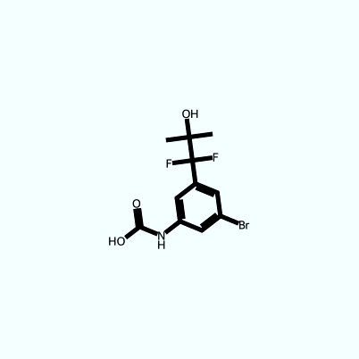 CC(C)(O)C(F)(F)c1cc(Br)cc(NC(=O)O)c1